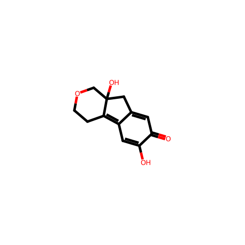 O=C1C=C2CC3(O)COCCC3=C2C=C1O